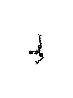 CN(C)CCCC/N=C\c1ccc(-c2cc(-c3ccc(/C=N/CCCCN(C)C)cc3)nc3c2ccn3Cc2ccccc2)cc1